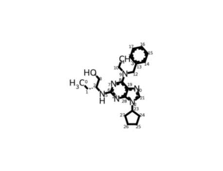 CC[C@H](CO)Nc1nc(N(CC)Cc2ccccc2)c2ncn(C3CCCC3)c2n1